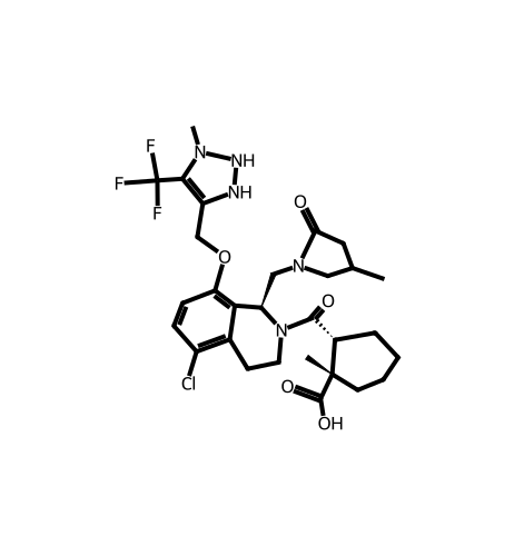 CC1CC(=O)N(C[C@@H]2c3c(OCC4=C(C(F)(F)F)N(C)NN4)ccc(Cl)c3CCN2C(=O)[C@@H]2CCCC[C@]2(C)C(=O)O)C1